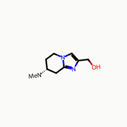 CN[C@@H]1CCn2cc(CO)nc2C1